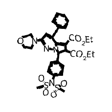 CCOC(=O)C1=C2C(c3ccccc3)=CC(N3CCOCC3)=NN2C(c2ccc(N(S(C)(=O)=O)S(C)(=O)=O)cc2)C1C(=O)OCC